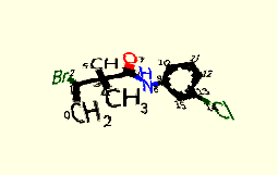 C=C(Br)C(C)(C)C(=O)Nc1cccc(Cl)c1